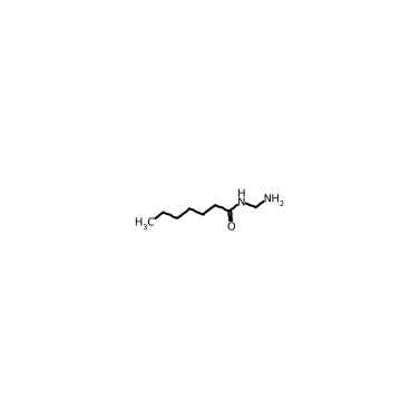 CCCCCCC(=O)NCN